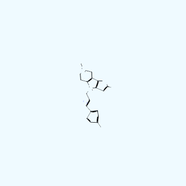 Cc1ccc(/C=C/Cn2c3c(c4sc(Cl)cc42)CN(C)CC3)cc1